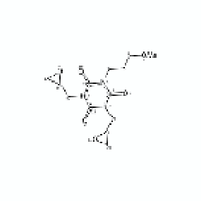 COCCCn1c(=O)n(CC2CO2)c(=O)n(CC2CO2)c1=O